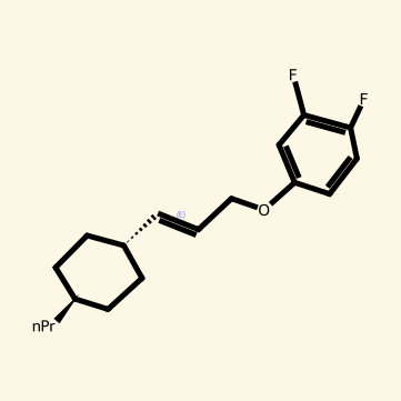 CCC[C@H]1CC[C@H](/C=C/COc2ccc(F)c(F)c2)CC1